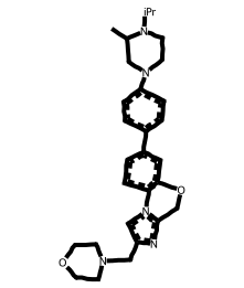 CC(C)N1CCN(c2ccc(-c3ccc4c(c3)OCc3nc(CN5CCOCC5)cn3-4)cc2)CC1C